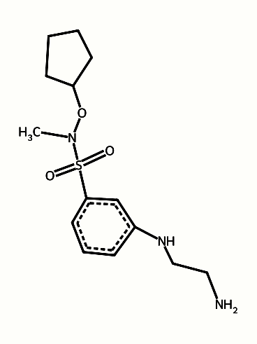 CN(OC1CCCC1)S(=O)(=O)c1cccc(NCCN)c1